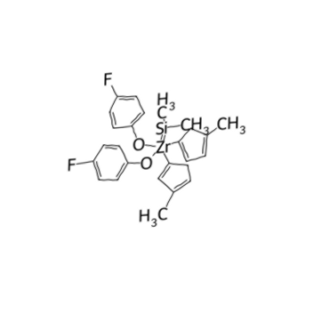 CC1=CC[C]([Zr]([O]c2ccc(F)cc2)([O]c2ccc(F)cc2)([C]2=CC=C(C)C2)=[Si](C)C)=C1